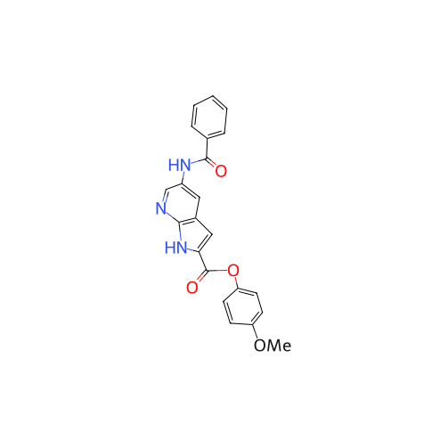 COc1ccc(OC(=O)c2cc3cc(NC(=O)c4ccccc4)cnc3[nH]2)cc1